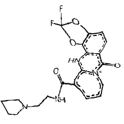 O=C(NCCN1CCCC1)c1ccc[n+]2c(=O)c3ccc4c(c3[nH]c12)OC(F)(F)O4